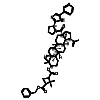 C=C(C)[C@@H]1CC[C@]2(C(=O)N3CCC[C@H]3c3ncc(-c4cccnc4)[nH]3)CC[C@]3(C)[C@H](CC[C@@H]4[C@@]5(C)CC[C@H](OC(=O)C6CC(C(=O)OCc7ccccc7)C6(C)C)C(C)(C)[C@@H]5CC[C@]43C)[C@@H]12